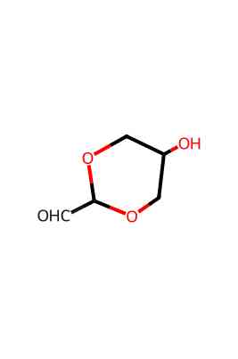 O=CC1OCC(O)CO1